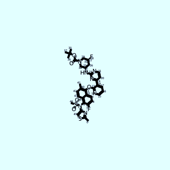 Cc1nc(N(c2c(F)ccc3c(Oc4ncccc4-c4ccnc(N[C@H]5C[C@H](F)CN(C(=O)OC(C)(C)C)C5)n4)c(C)ccc23)S(C)(=O)=O)cs1